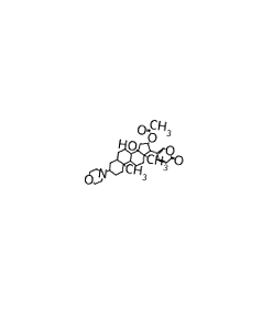 CC(=O)OC1CC2(O)C3CCC4CC(N5CCOCC5)CCC4(C)C3CCC2(C)C1c1ccc(=O)oc1